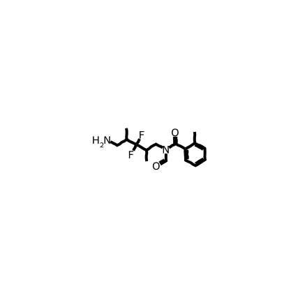 Cc1ccccc1C(=O)N(C=O)CC(C)C(F)(F)C(C)CN